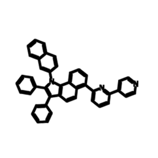 c1ccc(-c2c(-c3ccccc3)n(-c3ccc4ccccc4c3)c3c2ccc2c(-c4cccc(-c5ccncc5)n4)cccc23)cc1